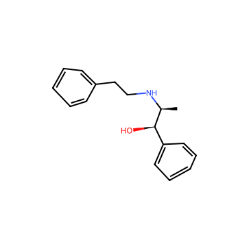 C[C@H](NCCc1ccccc1)[C@H](O)c1ccccc1